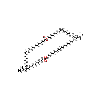 CCCCCCCC/C=C\CCCCCCCCCCCC(=O)OCCCCCCCC/C=C\CCCCCCCC.CCCCCCCCCCCCCCCCCCCCCCOC(=O)CCCCCCCCCCCCC